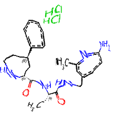 Cc1nc(N)ccc1CNC(=O)[C@H](C)NC(=O)[C@H]1C[C@H](c2ccccc2)CCN1.Cl.Cl